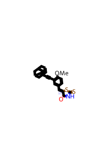 COc1ccc(/C=C2\SC(=S)NC2=O)cc1C#CC12CC3CC(CC(C3)C1)C2